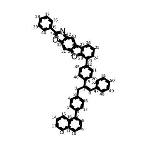 C(=C(\Cc1ccc(-c2cccc3ccccc23)cc1)c1ccc(-c2cccc3c2oc2cc4oc(-c5ccccc5)nc4cc23)cc1)/c1ccccc1